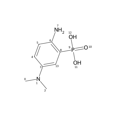 CN(C)c1ccc(N)c(P(=O)(O)O)c1